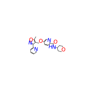 Cc1onc(-c2ccccn2)c1COc1ccc(C(=O)NC2CCOCC2)nc1